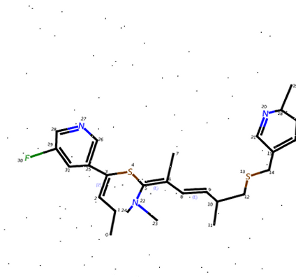 CC/C=C(\S/C(=C(C)/C=C/C(C)CSCC1=CCC(C)N=C1)N(C)C)c1cncc(F)c1